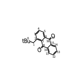 CC(C)(C)Cc1cccc2c1C(=O)c1ccccc1C2=O